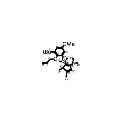 C=CCOc1c(C(C)(C)C)cc(OC)cc1[Si](C)(C)C1=C(N(C)C)C=C(C)C1C